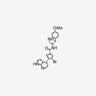 COc1ccc(C[C@@H](CN)NC(=O)c2cc(Br)c(-c3ccnc4[nH]ccc34)s2)cc1